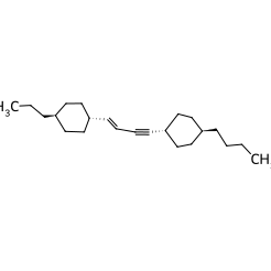 CCCC[C@H]1CC[C@H](C#CC=C[C@H]2CC[C@H](CCC)CC2)CC1